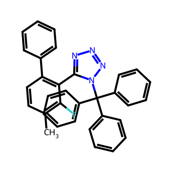 Cc1ccc(-c2ccccc2)c(-c2nnnn2C(c2ccccc2)(c2ccccc2)c2ccccc2)c1F